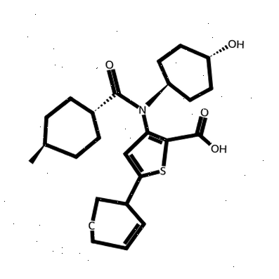 C[C@H]1CC[C@H](C(=O)N(c2cc(C3C=CCCC3)sc2C(=O)O)[C@H]2CC[C@H](O)CC2)CC1